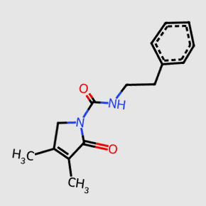 CC1=C(C)C(=O)N(C(=O)NCCc2ccccc2)C1